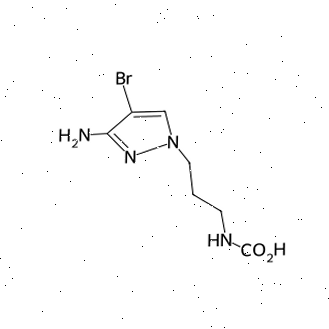 Nc1nn(CCCNC(=O)O)cc1Br